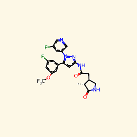 C[C@H]1C(=O)NC[C@@H]1CC(=O)Nc1cc(-c2cc(F)cc(OC(F)(F)F)c2)n(-c2cncc(F)c2)n1